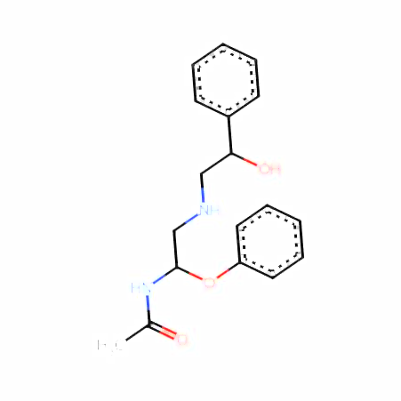 CC(=O)NC(CNCC(O)c1ccccc1)Oc1ccccc1